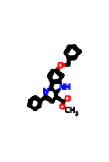 COC(=O)c1cc(-c2ccccc2)nc2c1[nH]c1cc(OCc3ccccc3)ccc12